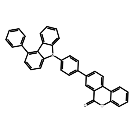 O=c1oc2ccccc2c2ccc(-c3ccc(-n4c5ccccc5c5c(-c6ccccc6)cccc54)cc3)cc12